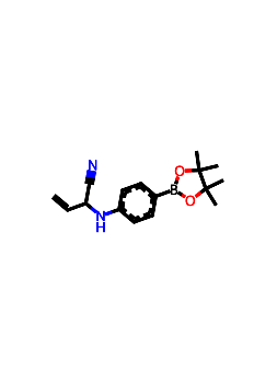 C=CC(C#N)Nc1ccc(B2OC(C)(C)C(C)(C)O2)cc1